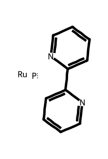 [P].[Ru].c1ccc(-c2ccccn2)nc1